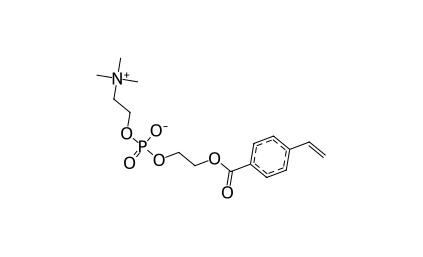 C=Cc1ccc(C(=O)OCCOP(=O)([O-])OCC[N+](C)(C)C)cc1